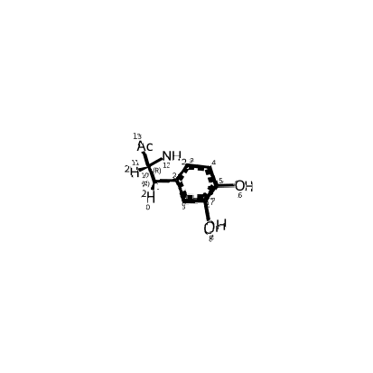 [2H][C@H](c1ccc(O)c(O)c1)[C@@]([2H])(N)C(C)=O